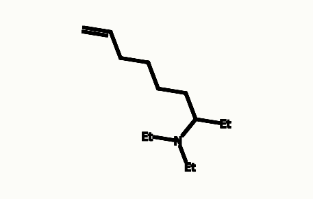 C=CCCCCC(CC)N(CC)CC